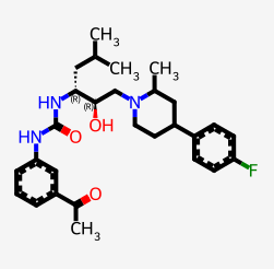 CC(=O)c1cccc(NC(=O)N[C@H](CC(C)C)[C@H](O)CN2CCC(c3ccc(F)cc3)CC2C)c1